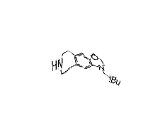 CCC(C)CN1CCOc2cc3c(cc21)CCNCC3